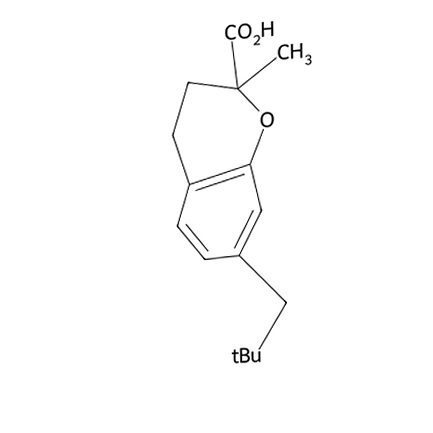 CC(C)(C)Cc1ccc2c(c1)OC(C)(C(=O)O)CC2